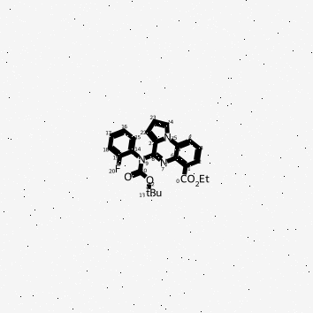 CCOC(=O)c1cccc2c1nc(N(C(=O)OC(C)(C)C)c1ccccc1F)c1cccn12